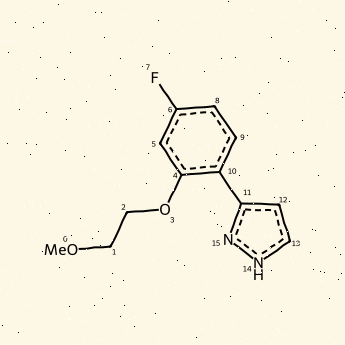 COCCOc1cc(F)ccc1-c1cc[nH]n1